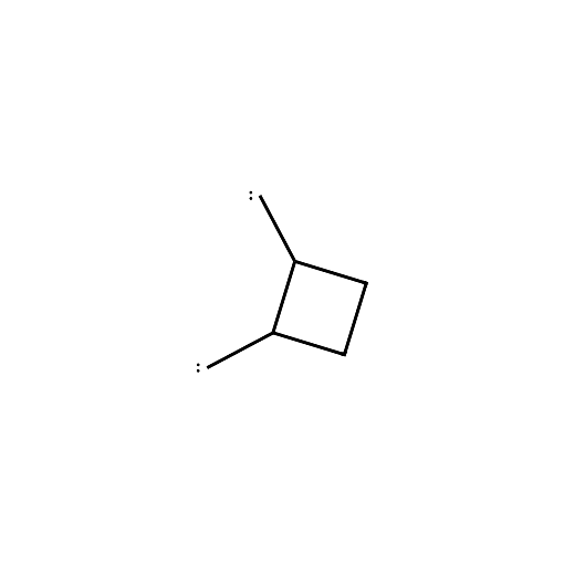 [CH]C1CCC1[CH]